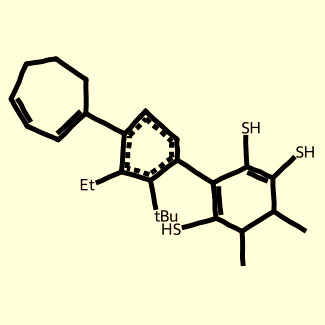 CCc1c(C2=CC=CCCC2)ccc(C2=C(S)C(C)C(C)C(S)=C2S)c1C(C)(C)C